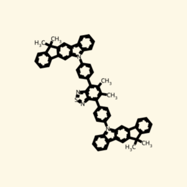 Cc1c(C)c(-c2ccc(-n3c4ccccc4c4cc5c(cc43)-c3ccccc3C5(C)C)cc2)c2nsnc2c1-c1ccc(-n2c3ccccc3c3cc4c(cc32)-c2ccccc2C4(C)C)cc1